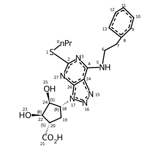 CCCSc1nc(NCCc2ccccc2)c2nnn([C@@H]3C[C@H](C(=O)O)[C@@H](O)[C@H]3O)c2n1